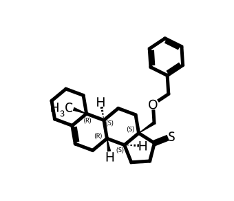 C[C@]12CCCCC1=CC[C@H]1[C@@H]3CCC(=S)[C@@]3(COCc3ccccc3)CC[C@@H]12